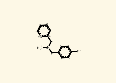 CN(Cc1ccc(F)cc1)Cc1ccccn1